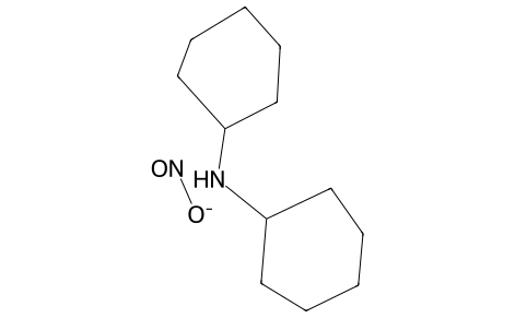 C1CCC(NC2CCCCC2)CC1.O=[NH+][O-]